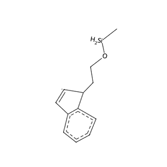 C[SiH2]OCCC1[C]=Cc2ccccc21